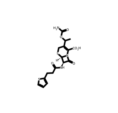 CC(OC(N)=O)C1=C(C(=O)O)N2C(=O)[C@@H](NC(=O)CCc3cccs3)[C@H]2SC1